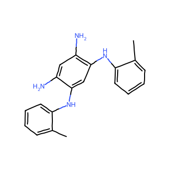 Cc1ccccc1Nc1cc(Nc2ccccc2C)c(N)cc1N